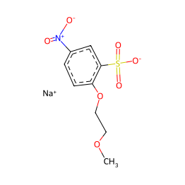 COCCOc1ccc([N+](=O)[O-])cc1S(=O)(=O)[O-].[Na+]